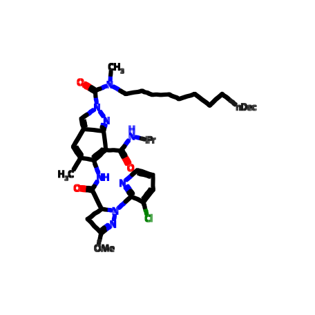 CCCCCCCCCCCCCCCCCCN(C)C(=O)n1cc2cc(C)c(NC(=O)C3CC(OC)=NN3c3ncccc3Cl)c(C(=O)NC(C)C)c2n1